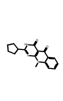 Cn1c2ccccc2c(=O)c2c(=O)[nH]c(C3CCCC3)nc21